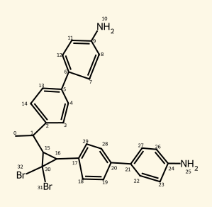 CC(c1ccc(-c2ccc(N)cc2)cc1)C1C(c2ccc(-c3ccc(N)cc3)cc2)C1(Br)Br